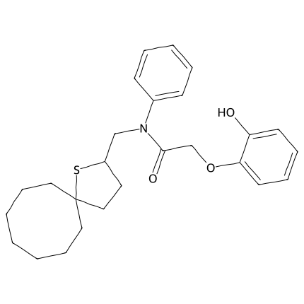 O=C(COc1ccccc1O)N(CC1CCC2(CCCCCCC2)S1)c1ccccc1